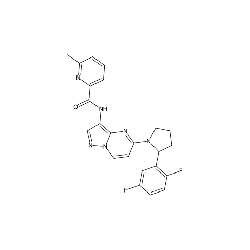 Cc1cccc(C(=O)Nc2cnn3ccc(N4CCCC4c4cc(F)ccc4F)nc23)n1